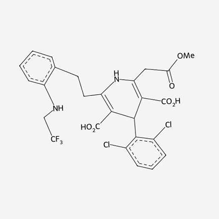 COC(=O)CC1=C(C(=O)O)C(c2c(Cl)cccc2Cl)C(C(=O)O)=C(CCc2ccccc2NCC(F)(F)F)N1